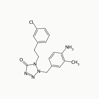 Cc1cc(Cn2nnc(=O)n2CCc2cccc(Cl)c2)ccc1N